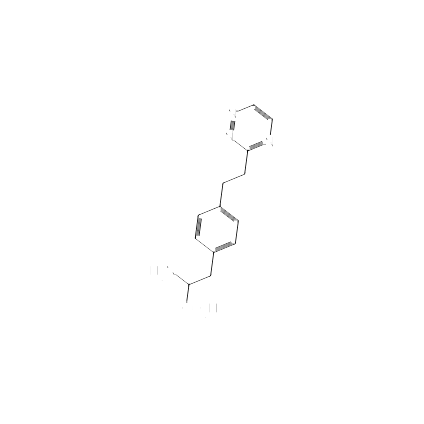 NC(Cc1ccc(CCc2nccnn2)cc1)C(=O)O